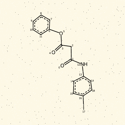 O=C(CC(=O)Oc1ccccc1)Nc1ccc(I)cc1